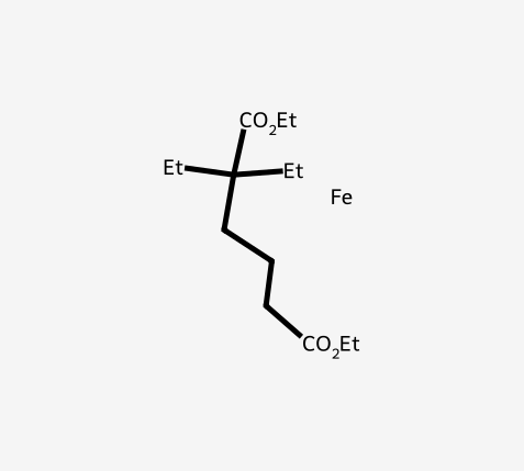 CCOC(=O)CCCC(CC)(CC)C(=O)OCC.[Fe]